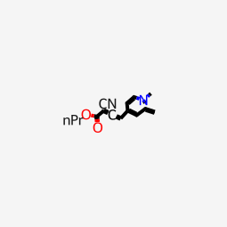 C=C/C=C(C=C=C(C#N)C(=O)OCCC)\C=C/N(C)C